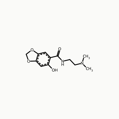 CN(C)CCNC(=O)c1cc2c(cc1O)OCO2